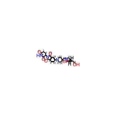 O=C1CCC(N2C(=O)c3ccc(N4CCC(O)(CN5C[C@@H]6[C@@H](CO)[C@@H]6C5)CC4)cc3C2=O)C(=O)N1